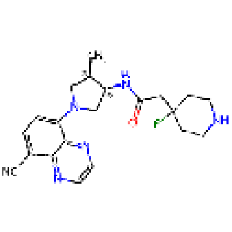 C[C@@H]1CN(c2ccc(C#N)c3nccnc23)C[C@@H]1NC(=O)CC1(F)CCNCC1